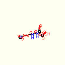 O=COCc1ccc(O[C@H]2CC(O)C[C@@H](C(=O)O)O2)c(NC(=O)CCNC(=O)CCOCCOCCN2C(=O)C=CC2=O)c1